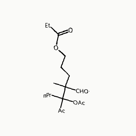 CCCC(OC(C)=O)(C(C)=O)C(C)([C]=O)CCCOC(=O)CC